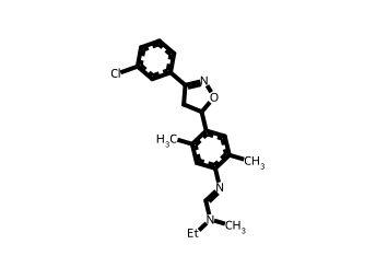 CCN(C)C=Nc1cc(C)c(C2CC(c3cccc(Cl)c3)=NO2)cc1C